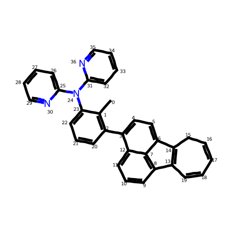 Cc1c(-c2ccc3c4c(cccc24)C2=C3CC=CC=C2)cccc1N(c1ccccn1)c1ccccn1